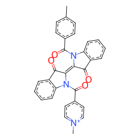 Cc1ccc(C(=O)N2/C(=C3\C(=O)c4ccccc4N3C(=O)c3cc[n+](C)cc3)C(=O)c3ccccc32)cc1